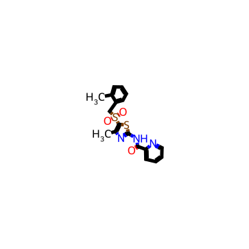 Cc1ccccc1CS(=O)(=O)c1sc(NC(=O)c2ccccn2)nc1C